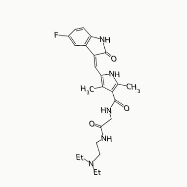 CCN(CC)CCNC(=O)CNC(=O)c1c(C)[nH]c(/C=C2\C(=O)Nc3ccc(F)cc32)c1C